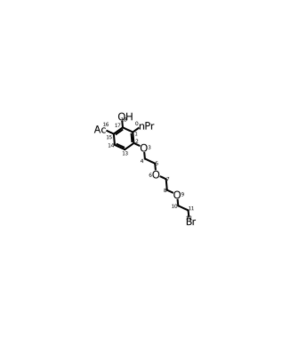 CCCc1c(OCCOCCOCCBr)ccc(C(C)=O)c1O